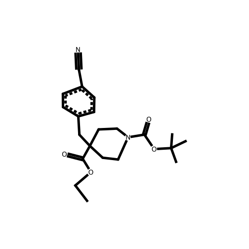 CCOC(=O)C1(Cc2ccc(C#N)cc2)CCN(C(=O)OC(C)(C)C)CC1